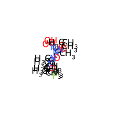 C[C@@H]1CN(CC(=O)N2CC(C)(C)c3nc(O[Si](C)(C)C(C)(C)C)c(Cc4ccc(F)cc4)cc32)[C@@H](CN2CCOC(C(=O)O)C2)CN1C(=O)OC(C)(C)C